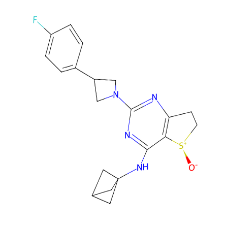 [O-][S@+]1CCc2nc(N3CC(c4ccc(F)cc4)C3)nc(NC34CC(C3)C4)c21